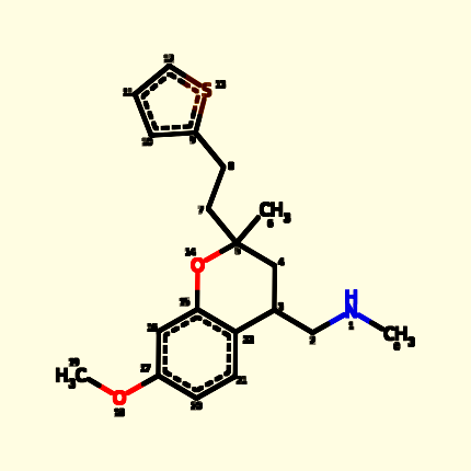 CNCC1CC(C)(CCc2cccs2)Oc2cc(OC)ccc21